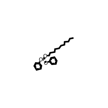 CCCCCCCCCCCOP(Oc1ccccc1)Oc1ccccc1